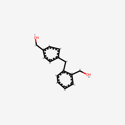 OCc1ccc(Cc2ccccc2CO)cc1